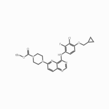 CC(C)(C)OC(=O)N1CCN(c2ccc3ncnc(Nc4ccc(OCC5CC5)c(Cl)c4F)c3n2)CC1